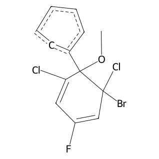 COC1(c2ccccc2)C(Cl)=CC(F)=CC1(Cl)Br